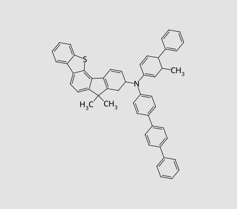 CC1C=C(N(c2ccc(-c3ccc(-c4ccccc4)cc3)cc2)C2C=CC3=C(C2)C(C)(C)c2ccc4c(sc5ccccc54)c23)C=CC1c1ccccc1